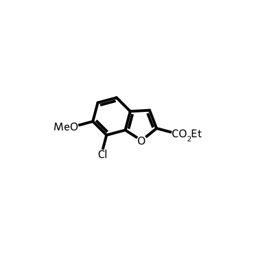 CCOC(=O)c1cc2ccc(OC)c(Cl)c2o1